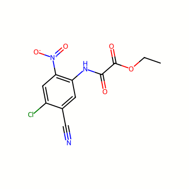 CCOC(=O)C(=O)Nc1cc(C#N)c(Cl)cc1[N+](=O)[O-]